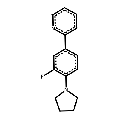 Fc1cc(-c2ccc[c]n2)ccc1N1CCCC1